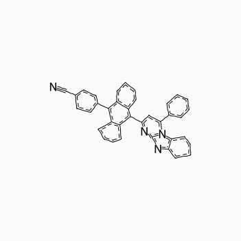 N#Cc1ccc(-c2c3ccccc3c(-c3cc(-c4ccccc4)n4c(n3)nc3ccccc34)c3ccccc23)cc1